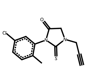 C#CCN1CC(=O)N(c2cc(Cl)ccc2C)C1=S